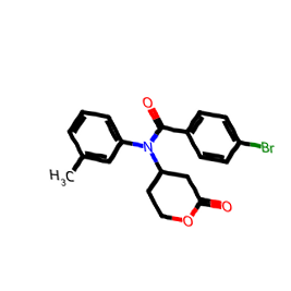 Cc1cccc(N(C(=O)c2ccc(Br)cc2)C2CCOC(=O)C2)c1